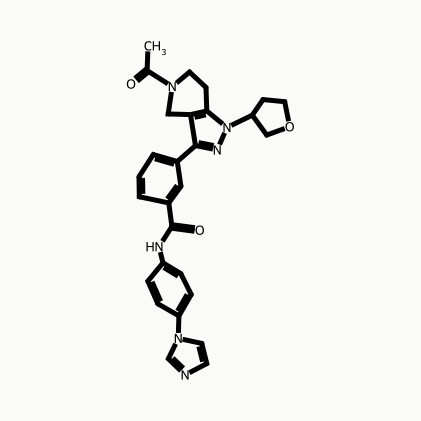 CC(=O)N1CCc2c(c(-c3cccc(C(=O)Nc4ccc(-n5ccnc5)cc4)c3)nn2C2CCOC2)C1